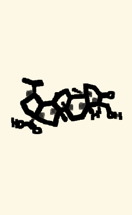 C=C(C)[C@@H]1CC[C@]2(C(=O)O)CC[C@]3(C)C(CCC4[C@@]5(C)CCC(=O)[C@@](C)(CO)[C@@H]5CC[C@]43C)C12